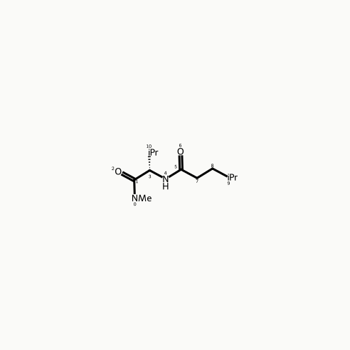 CNC(=O)[C@@H](NC(=O)CCC(C)C)C(C)C